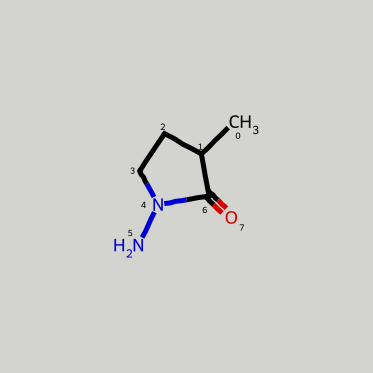 CC1CCN(N)C1=O